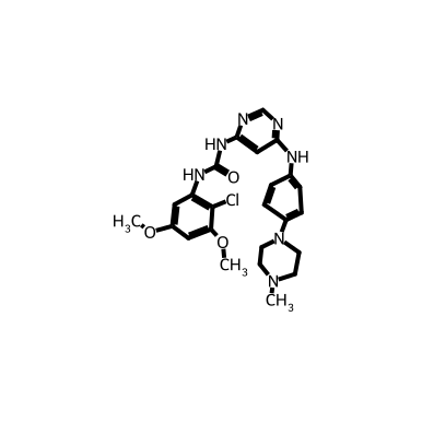 COc1cc(NC(=O)Nc2cc(Nc3ccc(N4CCN(C)CC4)cc3)ncn2)c(Cl)c(OC)c1